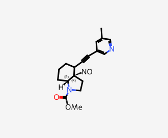 COC(=O)N1CC[C@@]2(N=O)C(C#Cc3cncc(C)c3)CCC[C@@H]12